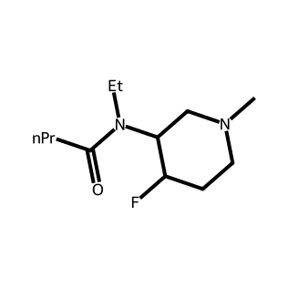 CCCC(=O)N(CC)C1CN(C)CCC1F